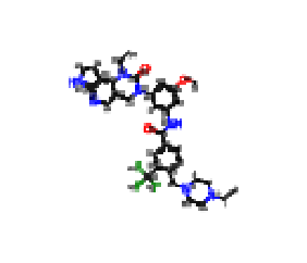 CCN1CCN(Cc2ccc(C(=O)Nc3cc(OC)cc(N4Cc5cnc6[nH]ccc6c5N(CC)C4=O)c3)cc2C(F)(F)F)CC1